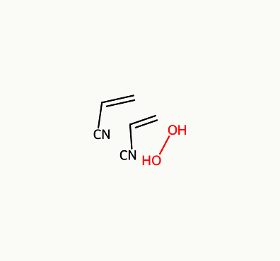 C=CC#N.C=CC#N.OO